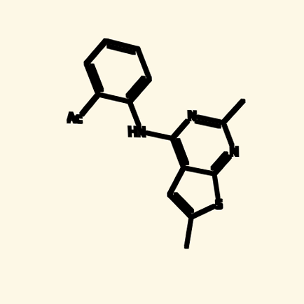 CC(=O)c1ccccc1Nc1nc(C)nc2sc(C)cc12